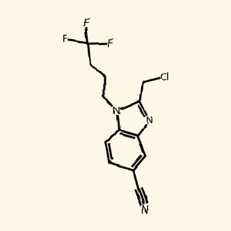 N#Cc1ccc2c(c1)nc(CCl)n2CCCC(F)(F)F